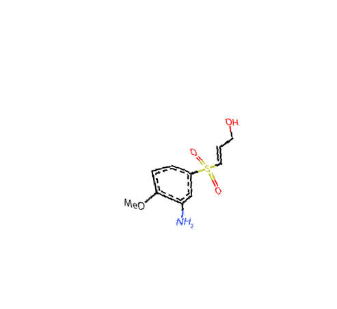 COc1ccc(S(=O)(=O)C=CCO)cc1N